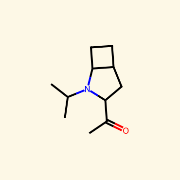 CC(=O)C1CC2CCC2N1C(C)C